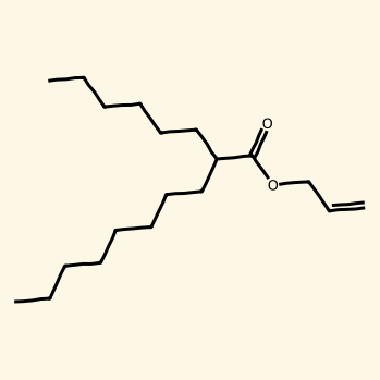 C=CCOC(=O)C(CCCCCC)CCCCCCCC